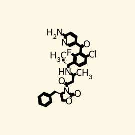 CC[C@@H](NC(C)CC(=O)N1C(=O)OC[C@H]1Cc1ccccc1)c1ccc(Cl)c(C(=O)c2ccc(N)nc2)c1F